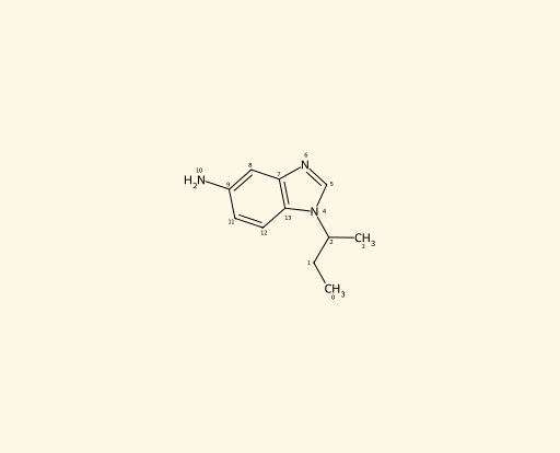 CCC(C)n1cnc2cc(N)ccc21